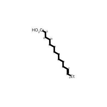 CC/C=C/CCCCCCCCCCC(=O)O